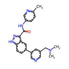 Cc1ccc(NC(=O)c2n[nH]c3ccc(-c4cncc(CN(C)C)c4)cc23)cn1